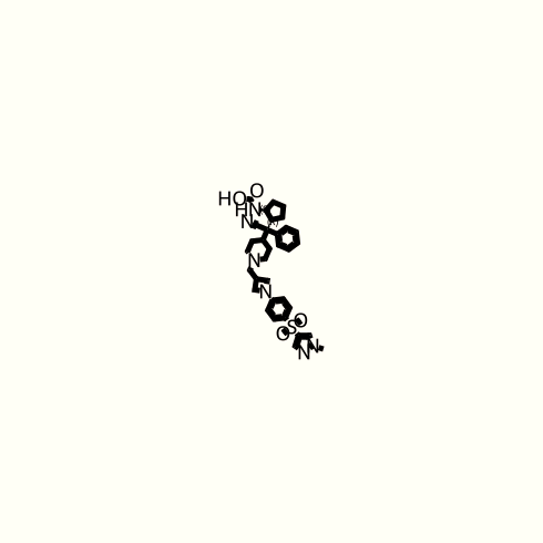 Cn1cc(S(=O)(=O)c2ccc(N3CC(CN4CCC(C(C#N)(c5ccccc5)[C@H]5CCC[C@@H]5NC(=O)O)CC4)C3)cc2)cn1